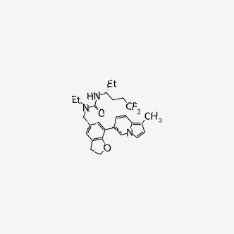 CC[C@H](CCC(F)(F)F)NC(=O)N(CC)Cc1cc2c(c(-c3ccc4c(C)ccn4c3)c1)OCC2